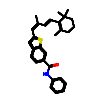 CC(C=CC1=C(C)CCCC1(C)C)=Cc1cc2ccc(C(=O)Nc3ccccc3)cc2s1